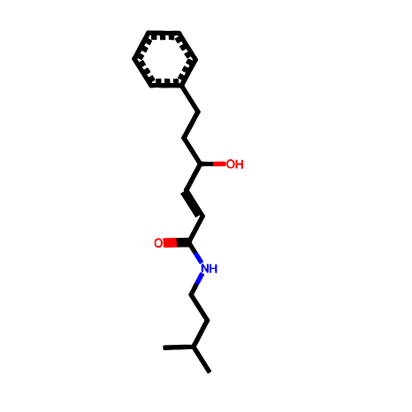 CC(C)CCNC(=O)C=CC(O)CCc1ccccc1